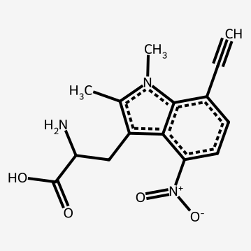 C#Cc1ccc([N+](=O)[O-])c2c(CC(N)C(=O)O)c(C)n(C)c12